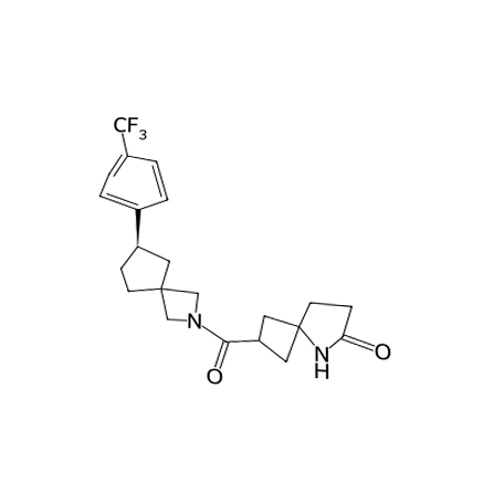 O=C1CCC2(CC(C(=O)N3CC4(CC[C@@H](c5ccc(C(F)(F)F)cc5)C4)C3)C2)N1